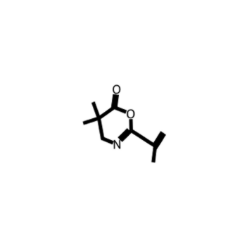 C=C(C)C1=NCC(C)(C)C(=O)O1